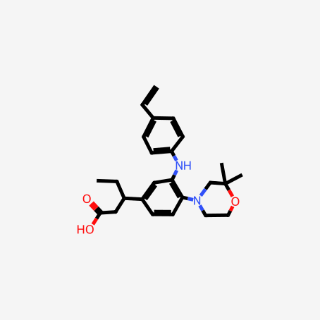 C=Cc1ccc(Nc2cc(C(CC)CC(=O)O)ccc2N2CCOC(C)(C)C2)cc1